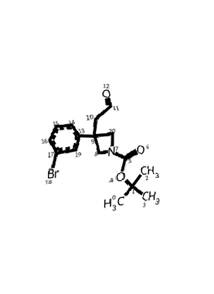 CC(C)(C)OC(=O)N1CC(CC=O)(c2cccc(Br)c2)C1